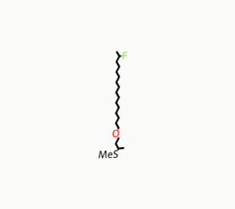 CSC(C)CCOCCCCCCCCCCCCCCC(C)F